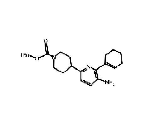 CC(C)(C)OC(=O)N1CCC(c2ccc(N)c(C3=CCCCC3)n2)CC1